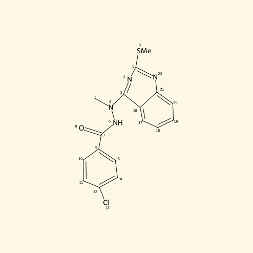 CSc1nc(N(C)NC(=O)c2ccc(Cl)cc2)c2ccccc2n1